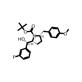 COc1ccc(C[C@@H]2CC[C@H]([C@@H](O)c3cccc(F)c3)N2C(=O)OC(C)(C)C)cc1